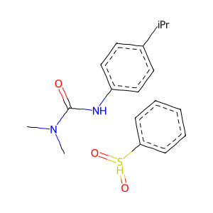 CC(C)c1ccc(NC(=O)N(C)C)cc1.O=[SH](=O)c1ccccc1